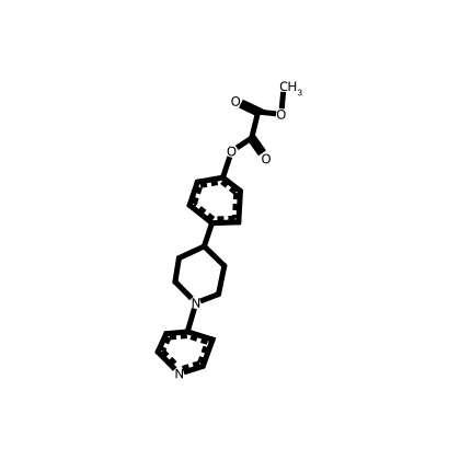 COC(=O)C(=O)Oc1ccc(C2CCN(c3ccncc3)CC2)cc1